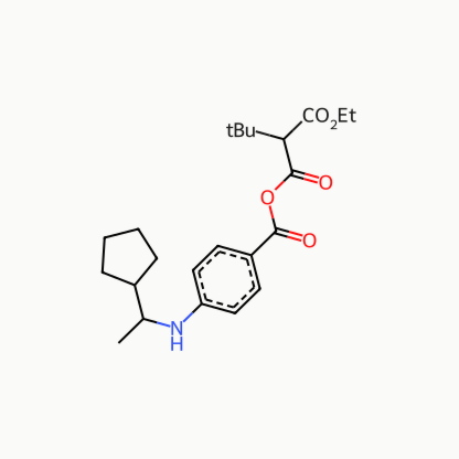 CCOC(=O)C(C(=O)OC(=O)c1ccc(NC(C)C2CCCC2)cc1)C(C)(C)C